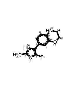 Cc1nc(F)c(-c2ccc3c(c2)OCCN3)[nH]1